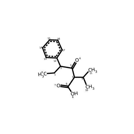 CCC(C(=O)C(C(=O)O)C(C)C)c1ccccc1